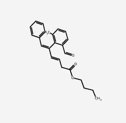 CCCCOC(=O)C/C=C/C(=C/c1ccccc1)c1c(C)cccc1C=O